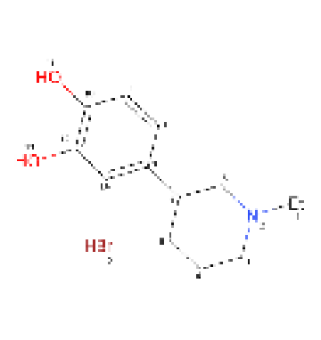 Br.CCN1CCCC(c2ccc(O)c(O)c2)C1